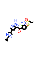 CCCS(=O)(=O)Nc1c(F)ccc(C(=O)c2n[nH]c3ncc(-c4cnc(C5CC5)nc4)cc23)c1F